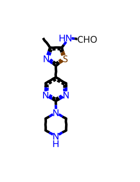 Cc1nc(-c2cnc(N3CCNCC3)nc2)sc1NC=O